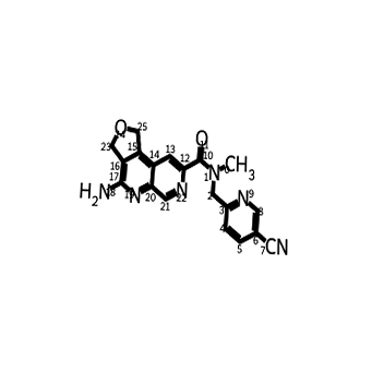 CN(Cc1ccc(C#N)cn1)C(=O)c1cc2c3c(c(N)nc2cn1)COC3